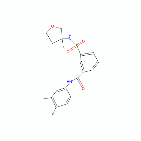 Cc1cc(NC(=O)c2cccc(S(=O)(=O)NC3(C)CCOC3)c2)ccc1F